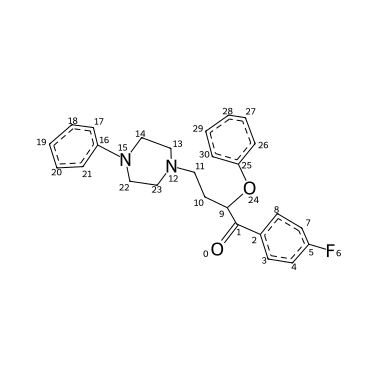 O=C(c1ccc(F)cc1)C(CCN1CCN(c2ccccc2)CC1)Oc1ccccc1